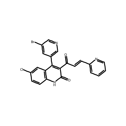 O=C(/C=C/c1ccccn1)c1c(-c2cncc(Br)c2)c2cc(Cl)ccc2[nH]c1=O